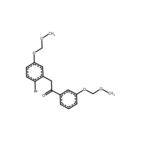 COCOc1cccc(C(=O)Cc2cc(OCOC)ccc2Br)c1